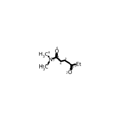 CCC(=O)CCC(=O)N(C)C